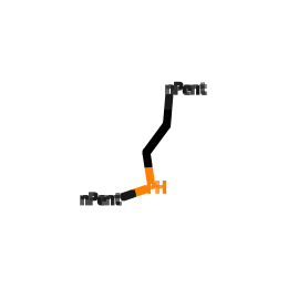 CCCCCCCPCCCCC